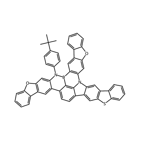 CC(C)(C)c1ccc(N2B3c4cc5c(cc4-n4c6cc7c(cc6c6ccc(c3c64)-c3cc4c(cc32)oc2ccccc24)sc2ccccc27)oc2ccccc25)cc1